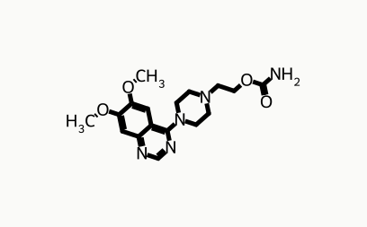 COc1cc2ncnc(N3CCN(CCOC(N)=O)CC3)c2cc1OC